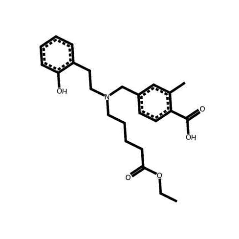 CCOC(=O)CCCCN(CCc1ccccc1O)Cc1ccc(C(=O)O)c(C)c1